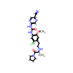 COc1cc(CCN[C@H](C)C(=O)N2CCCC2)c(Cl)cc1NC(=O)Nc1cnc(C#N)cn1